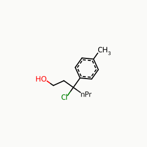 CCCC(Cl)(CCO)c1ccc(C)cc1